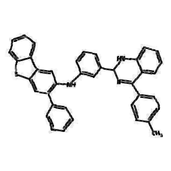 Cc1ccc(C2=NC(c3cccc(Nc4cc5c(cc4-c4ccccc4)sc4ccccc45)c3)Nc3ccccc32)cc1